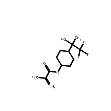 C=C(C)C(=O)OC1CCC(C(C)(O)C(F)(F)F)CC1